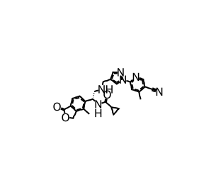 Cc1cc(-n2cc(CNC[C@H](NC(=O)C3CC3)c3ccc4c(c3C)COC4=O)cn2)ncc1C#N